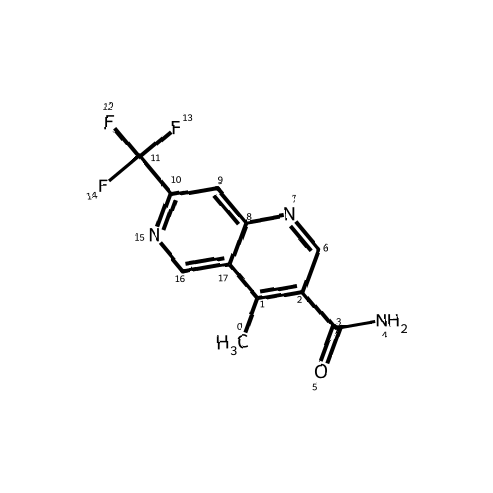 Cc1c(C(N)=O)cnc2cc(C(F)(F)F)ncc12